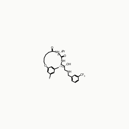 CC(C)[C@H]1NC(=O)CCCCOc2cc(F)cc(c2)C[C@@H]([C@H](O)CNCc2cccc(C(F)(F)F)c2)NC1=O